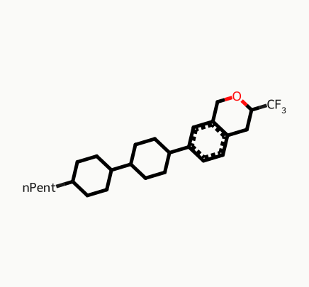 CCCCCC1CCC(C2CCC(c3ccc4c(c3)COC(C(F)(F)F)C4)CC2)CC1